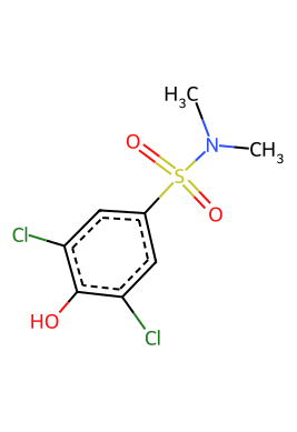 CN(C)S(=O)(=O)c1cc(Cl)c(O)c(Cl)c1